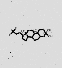 CC12CCC3C(CCC4C[C@@](C)(O)CCC43C)C1CCC2CCC(F)(F)F